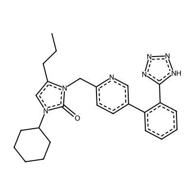 CCCc1cn(C2CCCCC2)c(=O)n1Cc1ccc(-c2ccccc2-c2nnn[nH]2)cn1